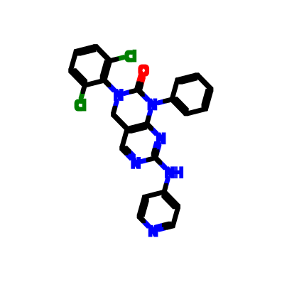 O=C1N(c2c(Cl)cccc2Cl)Cc2cnc(Nc3ccncc3)nc2N1c1ccccc1